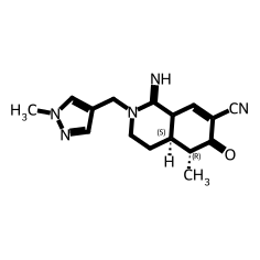 C[C@H]1C(=O)C(C#N)=CC2C(=N)N(Cc3cnn(C)c3)CC[C@@H]21